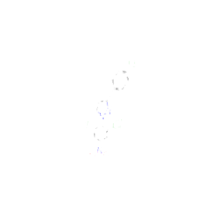 O=[N+]([O-])c1cc(Cl)c(-n2ccc(-c3ccc(Cl)cc3)n2)c(Cl)c1